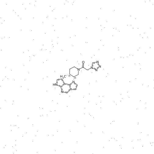 C[C@@H]1CCN(C(=O)Cn2cnnn2)C[C@@H]1n1ccc2cnc3[nH]ccc3c21